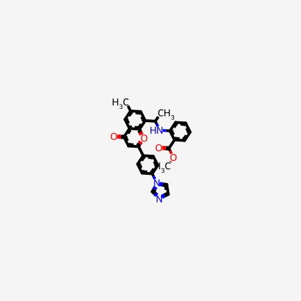 COC(=O)c1ccccc1NC(C)c1cc(C)cc2c(=O)cc(-c3ccc(-n4ccnc4)cc3)oc12